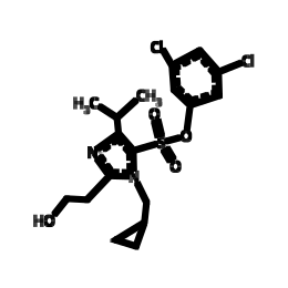 CC(C)c1nc(CCO)n(CC2CC2)c1S(=O)(=O)Oc1cc(Cl)cc(Cl)c1